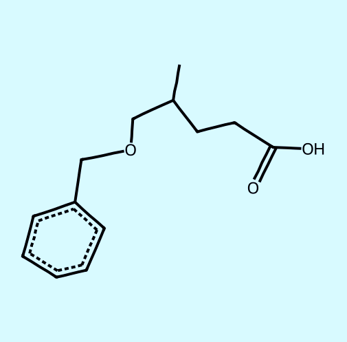 CC(CCC(=O)O)COCc1ccccc1